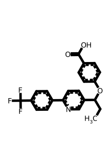 CCC(Oc1ccc(C(=O)O)cc1)c1ccc(-c2ccc(C(F)(F)F)cc2)nc1